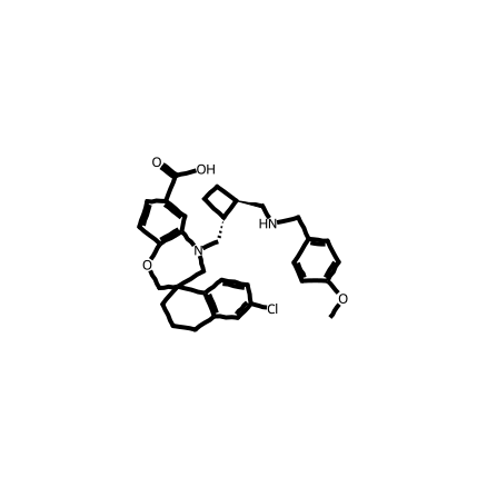 COc1ccc(CNC[C@@H]2CC[C@H]2CN2CC3(CCCc4cc(Cl)ccc43)COc3ccc(C(=O)O)cc32)cc1